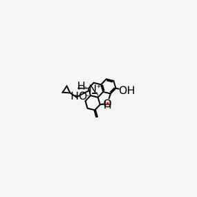 C=C1CC[C@@]2(O)[C@H]3Cc4ccc(O)c5c4[C@@]2(CC[N@+]3(C)CC2CC2)[C@H]1O5